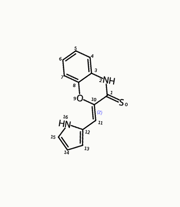 S=C1Nc2ccccc2O/C1=C\c1ccc[nH]1